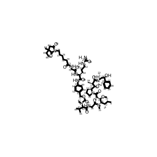 CC[C@H](C)[C@@H]([C@@H](CC(=O)N1CCC[C@H]1[C@H](OC)[C@@H](C)C(=O)N[C@H](C)[C@@H](O)c1ccccc1)OC)N(C)C(=O)CNC(=O)C(C(C)C)N(C)C(=O)OCc1ccc(NC(=O)[C@H](CCCNC(N)=O)NC(=O)CNC(=O)CCCCCN2C(=O)CC(C)(CC)C2=O)cc1